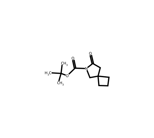 CC(C)(C)OC(=O)N1CC2(CCC2)CC1=O